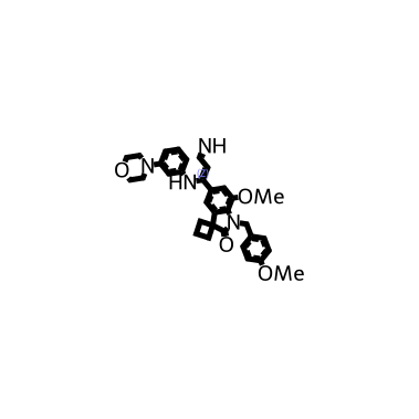 COc1ccc(CN2C(=O)C3(CCC3)c3cc(/C(=C/C=N)Nc4cccc(N5CCOCC5)c4)cc(OC)c32)cc1